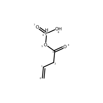 C=CCC(=O)O[PH](=O)O